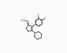 O/N=C1\CCC(C2CCCCC2)=C1c1ccc(F)c(F)c1